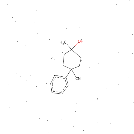 CC1(O)CCC(C#N)(c2ccccc2)CC1